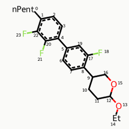 CCCCCc1ccc(-c2ccc(C3CCC(OCC)OC3)c(F)c2)c(F)c1F